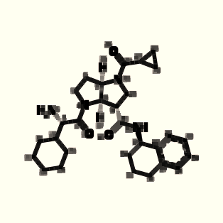 N[C@H](C(=O)N1CC[C@@H]2[C@H]1[C@@H](C(=O)N[C@@H]1CCCc3ccccc31)CN2C(=O)C1CC1)C1CCCCC1